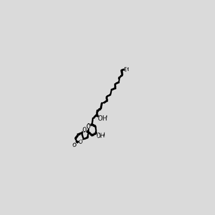 CC/C=C/CCCCCCCCCCCC(O)CC1CC(O)CC2(CC3OC(=O)C=CC3O2)O1